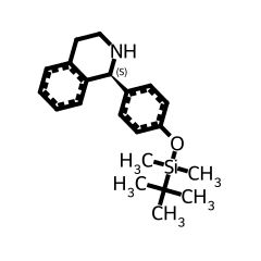 CC(C)(C)[Si](C)(C)Oc1ccc([C@@H]2NCCc3ccccc32)cc1